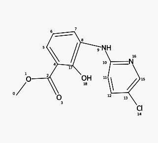 COC(=O)c1cccc(Nc2ccc(Cl)cn2)c1O